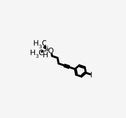 C[SiH](C)OCCCC#Cc1ccc(I)cc1